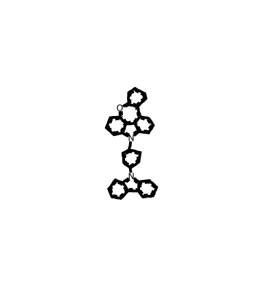 c1ccc2c(c1)oc1cccc3c1c1c2cccc1n3-c1ccc(-n2c3ccccc3c3ccccc32)cc1